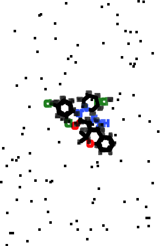 CC1(C)Oc2ccccc2-c2[nH]nc(C(=O)N(c3ccc(Cl)cc3Cl)N3CCCCC3)c21.Cl